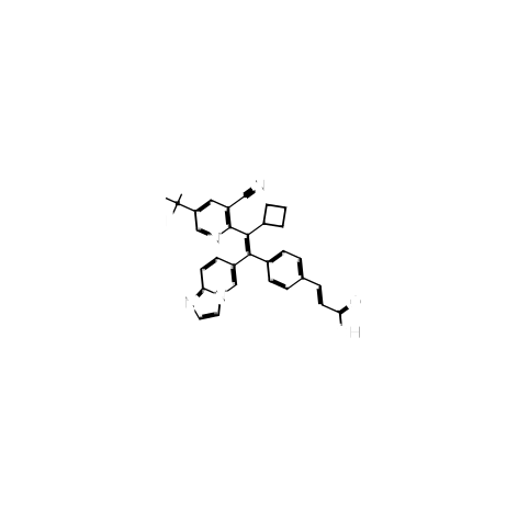 N#Cc1cc(C(F)(F)F)cnc1C(=C(c1ccc(C=CC(=O)O)cc1)c1ccc2nccn2c1)C1CCC1